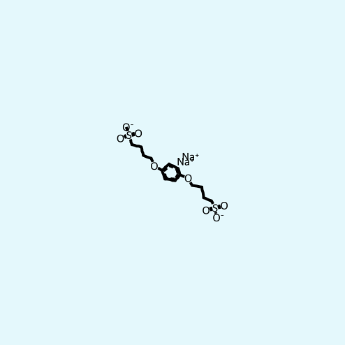 O=S(=O)([O-])CCCCOc1ccc(OCCCCS(=O)(=O)[O-])cc1.[Na+].[Na+]